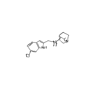 Clc1ccc2cc(CNC3CN4CCC3CC4)[nH]c2c1